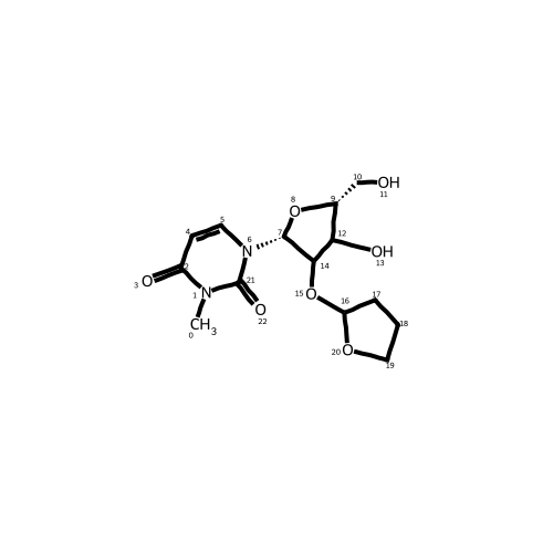 Cn1c(=O)ccn([C@@H]2O[C@H](CO)C(O)C2OC2CCCO2)c1=O